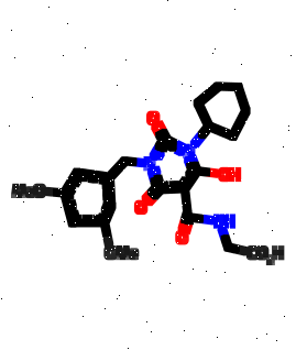 COc1cc(Cn2c(=O)c(C(=O)NCC(=O)O)c(O)n(C3CCCCC3)c2=O)cc(OC)c1